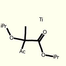 CC(=O)C(C)(OC(C)C)C(=O)OC(C)C.[Ti]